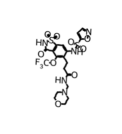 O=C(CCc1c(NS(=O)(=O)c2ccno2)cc2c(c1OC(F)(F)F)C(=O)NS2(=O)=O)NCN1CCOCC1